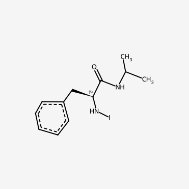 CC(C)NC(=O)[C@H](Cc1ccccc1)NI